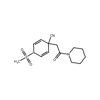 CS(=O)(=O)N1C=CC(C#N)(CC(=O)N2CCCCC2)C=C1